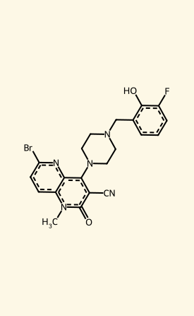 Cn1c(=O)c(C#N)c(N2CCN(Cc3cccc(F)c3O)CC2)c2nc(Br)ccc21